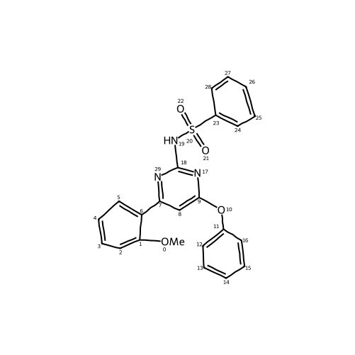 COc1ccccc1-c1cc(Oc2ccccc2)nc(NS(=O)(=O)c2ccccc2)n1